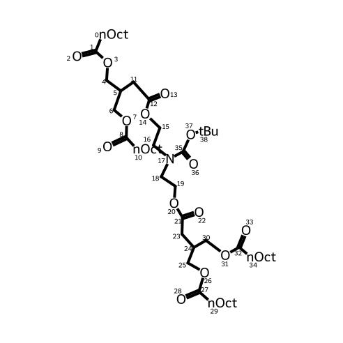 CCCCCCCCC(=O)OCC(COC(=O)CCCCCCCC)CC(=O)OCCN(CCOC(=O)CC(COC(=O)CCCCCCCC)COC(=O)CCCCCCCC)C(=O)OC(C)(C)C